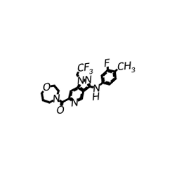 Cc1ccc(Nc2nn(CC(F)(F)F)c3cc(C(=O)N4CCCOCC4)ncc23)cc1F